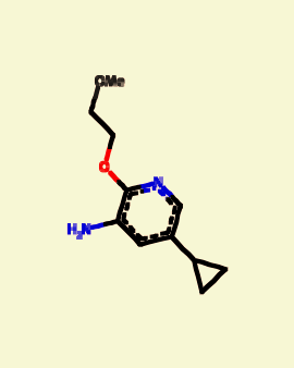 COCCOc1ncc(C2CC2)cc1N